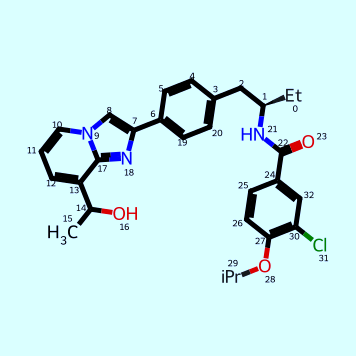 CC[C@H](Cc1ccc(-c2cn3cccc(C(C)O)c3n2)cc1)NC(=O)c1ccc(OC(C)C)c(Cl)c1